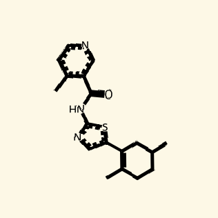 CC1=C(c2cnc(NC(=O)c3cnccc3C)s2)CC(C)CC1